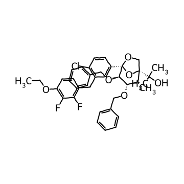 CCOc1ccc(Cc2cc([C@]34OC[C@](C(C)(C)O)(O3)[C@@H](C)[C@H](OCc3ccccc3)[C@H]4OCc3ccccc3)ccc2Cl)c(F)c1F